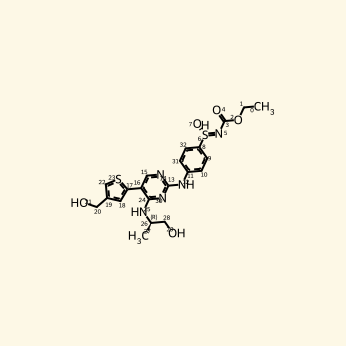 CCOC(=O)N=[SH](=O)c1ccc(Nc2ncc(-c3cc(CO)cs3)c(N[C@H](C)CO)n2)cc1